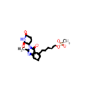 Cc1nc2cccc(CCCCCOS(C)(=O)=O)c2c(=O)n1C1CCC(=O)NC1=O